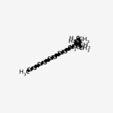 COCCOCCOCCOCCOCCOCCOCCOCCOCCOC(=O)C(CC(C)(C)C)C(C)(C)C